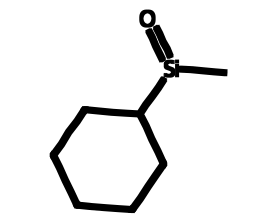 C[Si](=O)C1CCCCC1